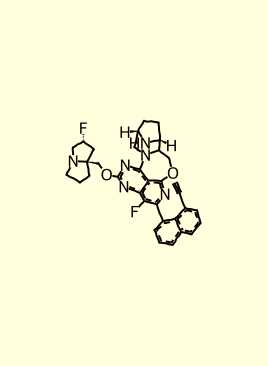 C#Cc1cccc2cccc(-c3nc4c5c(nc(OC[C@@]67CCCN6C[C@H](F)C7)nc5c3F)N3C[C@@H]5CC[C@@H](N5)C3CO4)c12